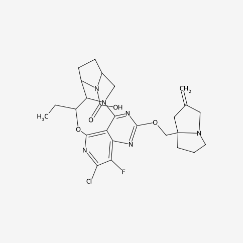 C=C1CN2CCCC2(COc2nc3c4c(nc(Cl)c(F)c4n2)OC(CC)C2C4CCC(CN32)N4C(=O)O)C1